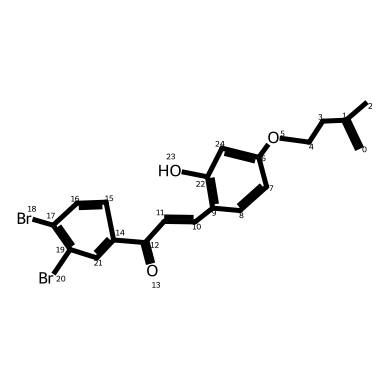 C=C(C)CCOc1ccc(/C=C/C(=O)c2ccc(Br)c(Br)c2)c(O)c1